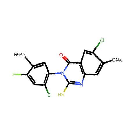 COc1cc(-n2c(S)nc3cc(OC)c(Cl)cc3c2=O)c(Cl)cc1F